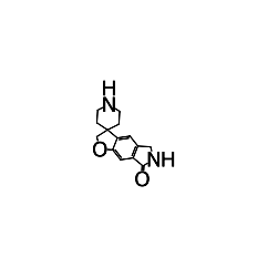 O=C1NCc2cc3c(cc21)OCC31CCNCC1